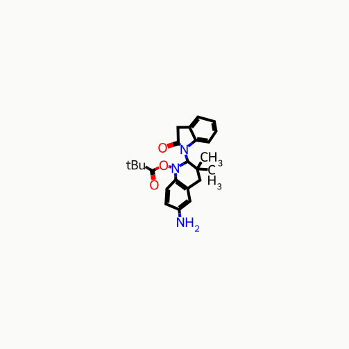 CC(C)(C)C(=O)ON1c2ccc(N)cc2CC(C)(C)C1N1C(=O)Cc2ccccc21